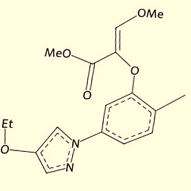 CCOc1cnn(-c2ccc(C)c(O/C(=C\OC)C(=O)OC)c2)c1